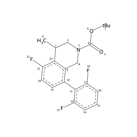 CC1CN(C(=O)OC(C)(C)C)Cc2c(-c3c(F)cccc3F)ccc(F)c21